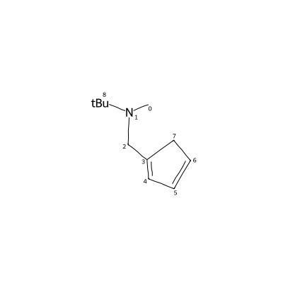 CN(CC1=CC=CC1)C(C)(C)C